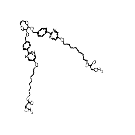 C=CC(=O)OCCCCCCCCOc1cnc(-c2ccc(CO[C@@H]3OCCO[C@H]3OCc3ccc(-c4ncc(OCCCCCCCCOC(=O)C=C)cn4)cc3)cc2)nc1